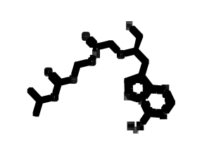 CC(C)OC(=O)OCO[PH](=O)CO[C@@H](CF)Cc1cnn2c(N)ncnc12